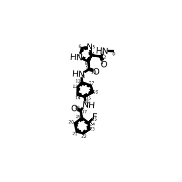 CNC(=O)c1nc[nH]c1C(=O)Nc1ccc(NC(=O)c2ccccc2F)cc1